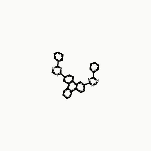 c1ccc(-c2ncnc(-c3ccc4c(c3)c3ccccc3c3ccc(-c5ncnc(-c6ccccc6)n5)cc34)n2)cc1